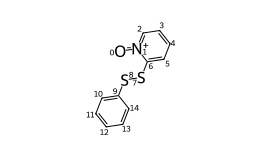 [O-][n+]1ccccc1SSc1ccccc1